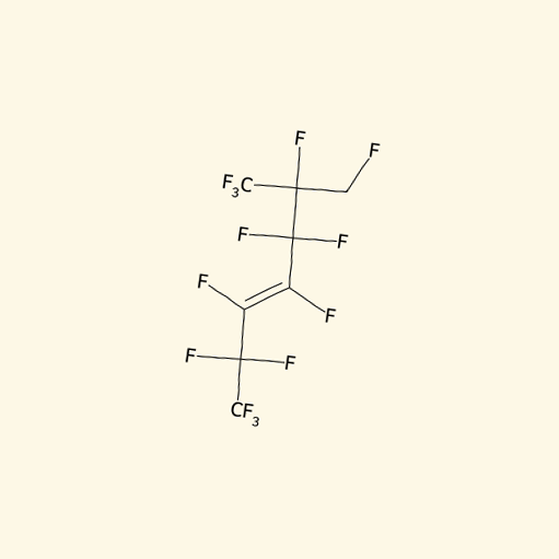 FCC(F)(C(F)(F)F)C(F)(F)C(F)=C(F)C(F)(F)C(F)(F)F